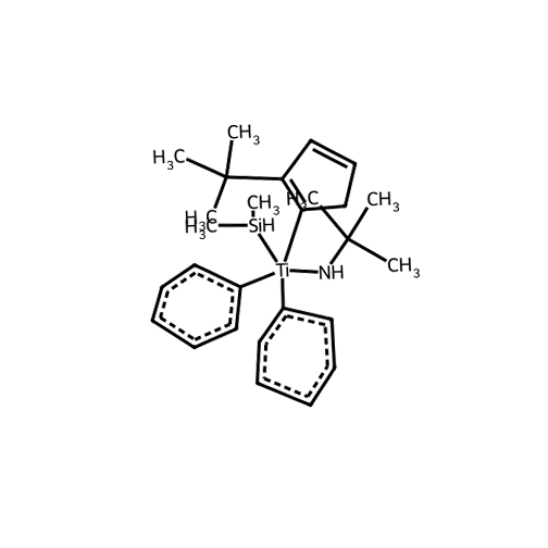 C[SiH](C)[Ti]([NH]C(C)(C)C)([C]1=C(C(C)(C)C)C=CC1)([c]1ccccc1)[c]1ccccc1